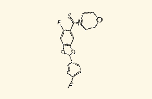 Fc1ccc(C2Oc3cc(F)c(C(=S)N4CCOCC4)cc3O2)cc1